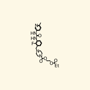 CCC(=O)OCCOC(=O)N1CCN(Cc2cccc(NC(=O)Nc3ccc(C)nc3)c2F)CC1